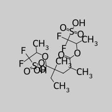 CCC(C)(CC(C)C(=O)OC(C)C(F)(F)S(=O)(=O)O)C(=O)OC(C)C(F)(F)S(=O)(=O)O